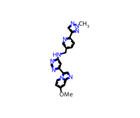 COc1ccn2c(-c3cc(NCc4ccc(-c5cnn(C)n5)nc4)ncn3)cnc2c1